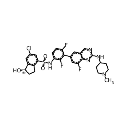 CN1CCC(Nc2ncc3cc(-c4c(F)ccc(NS(=O)(=O)c5cc(Cl)cc6c5CC[C@H]6O)c4F)cc(F)c3n2)CC1